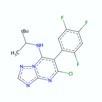 CC(Nc1c(-c2cc(F)c(F)cc2F)c(Cl)nc2ncnn12)C(C)(C)C